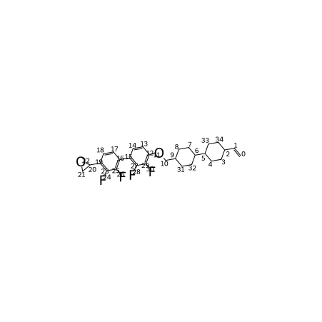 C=CC1CCC(C2CCC(COc3ccc(-c4ccc(C5CO5)c(F)c4F)c(F)c3F)CC2)CC1